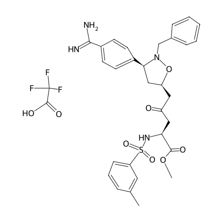 COC(=O)[C@H](CC(=O)C[C@H]1C[C@@H](c2ccc(C(=N)N)cc2)N(Cc2ccccc2)O1)NS(=O)(=O)c1cccc(C)c1.O=C(O)C(F)(F)F